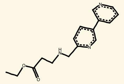 CCOC(=O)CCNCc1ccc(-c2cccnc2)cn1